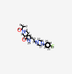 CC(C)C(=O)N1CCC2(CC1)C[C@H](CCN1CCN(c3ccc(F)cc3)CC1)N(C)C2=O